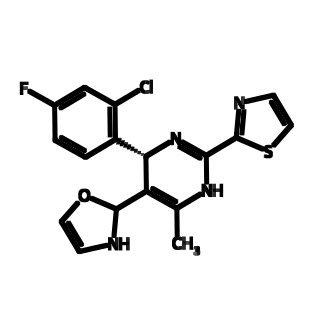 CC1=C(C2NC=CO2)[C@H](c2ccc(F)cc2Cl)N=C(c2nccs2)N1